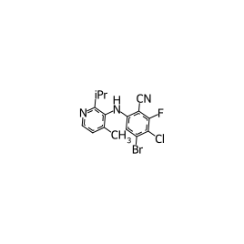 Cc1ccnc(C(C)C)c1Nc1cc(Br)c(Cl)c(F)c1C#N